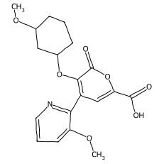 COc1cccnc1-c1cc(C(=O)O)oc(=O)c1OC1CCCC(OC)C1